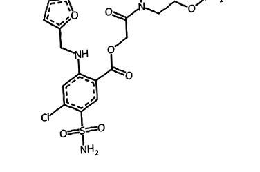 CN(CCO[N+](=O)[O-])C(=O)COC(=O)c1cc(S(N)(=O)=O)c(Cl)cc1NCc1ccco1